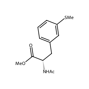 COC(=O)[C@H](Cc1cccc(SC)c1)NC(C)=O